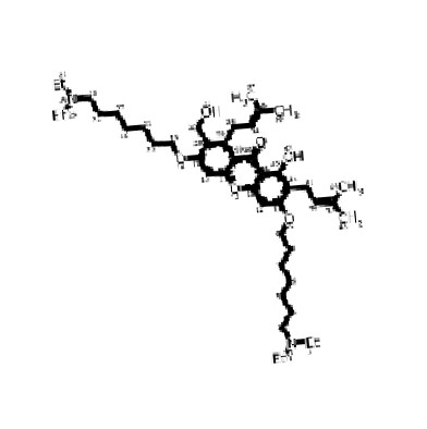 CCN(CC)CCCCCCCOc1cc2oc3cc(OCCCCCCCN(CC)CC)c(CO)c(CC=C(C)C)c3c(=O)c2c(O)c1CC=C(C)C